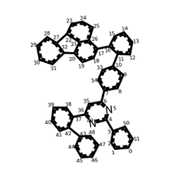 c1ccc(-c2nc(-c3ccc(-c4ccccc4-c4ccc5c6c(cccc46)-c4ccccc4-5)cc3)cc(-c3ccccc3-c3ccccc3)n2)cc1